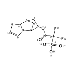 O=C(OC1CC2CC1C1C=CCC21)C(F)(F)S(=O)(=O)O